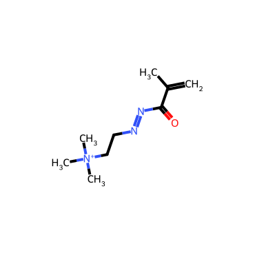 C=C(C)C(=O)N=NCC[N+](C)(C)C